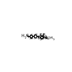 C=CC1CCC(C2CCC(COc3ccc(OCC)c(F)c3F)CC2)CC1